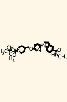 CNC(=O)c1ccc2c(ccn2-c2ccc(OCC3CCN(C(=O)OC(C)(C)C)CC3)cn2)c1